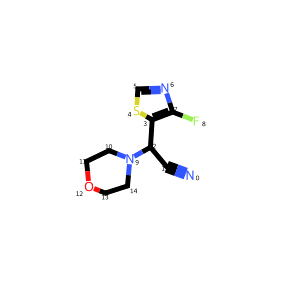 N#CC(c1scnc1F)N1CCOCC1